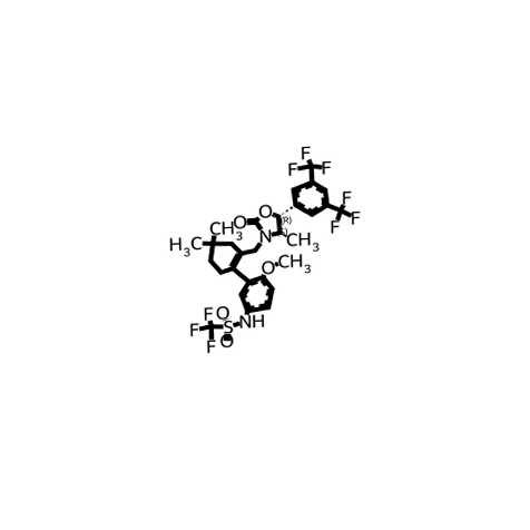 COc1ccc(NS(=O)(=O)C(F)(F)F)cc1C1=C(CN2C(=O)O[C@H](c3cc(C(F)(F)F)cc(C(F)(F)F)c3)[C@@H]2C)CC(C)(C)CC1